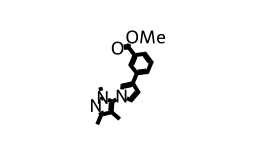 COC(=O)c1cccc(-c2ccn(-c3c(C)c(C)nn3C)c2)c1